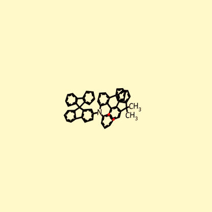 CC1(C)c2ccccc2-c2c(-c3c(-c4ccccc4)cccc3N(c3ccccc3)c3ccc4c(c3)C3(c5ccccc5-c5ccccc53)c3ccccc3-4)cccc21